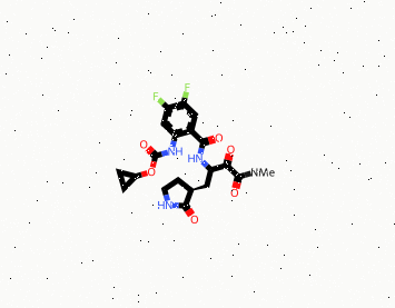 CNC(=O)C(=O)C(C[C@@H]1CCNC1=O)NC(=O)c1cc(F)c(F)cc1NC(=O)OC1CC1